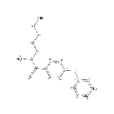 CC(COCCO)C(=O)c1ccc(Cc2cccnc2)cc1